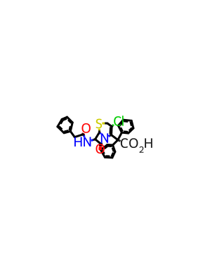 O=C(Cc1ccccc1)NC1C(=O)N2C(C(C(=O)O)(c3ccccc3)c3ccccc3)=C(Cl)CSC12